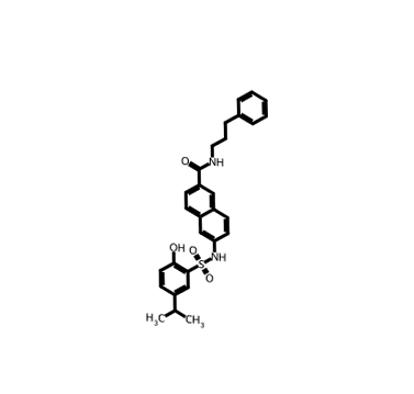 CC(C)c1ccc(O)c(S(=O)(=O)Nc2ccc3cc(C(=O)NCCCc4ccccc4)ccc3c2)c1